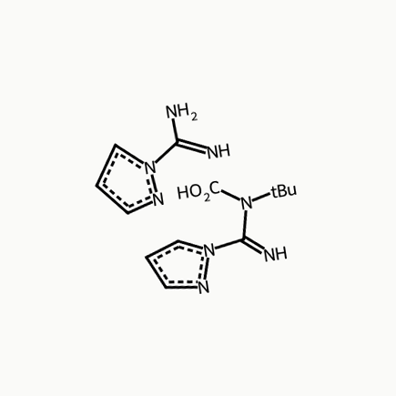 CC(C)(C)N(C(=N)n1cccn1)C(=O)O.N=C(N)n1cccn1